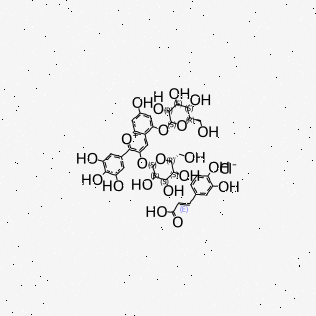 O=C(O)/C=C/c1ccc(O)c(O)c1.OC[C@H]1O[C@@H](Oc2cc3c(O[C@@H]4O[C@H](CO)[C@@H](O)[C@H](O)[C@H]4O)cc(O)cc3[o+]c2-c2cc(O)c(O)c(O)c2)[C@H](O)[C@@H](O)[C@@H]1O.[Cl-]